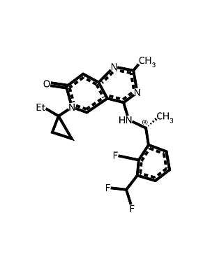 CCC1(n2cc3c(N[C@H](C)c4cccc(C(F)F)c4F)nc(C)nc3cc2=O)CC1